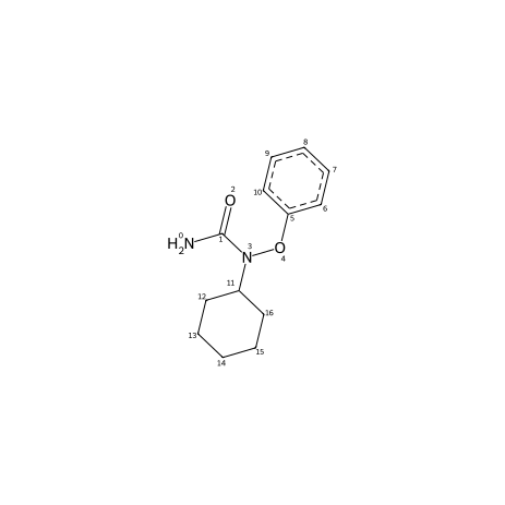 NC(=O)N(Oc1ccccc1)C1CCCCC1